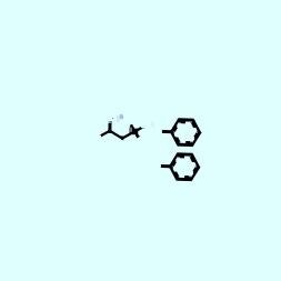 CCCC(O)CC(C)(O)CCC.O=C(O)c1ccccc1.O=C(O)c1ccccc1